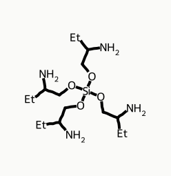 CCC(N)CO[Si](OCC(N)CC)(OCC(N)CC)OCC(N)CC